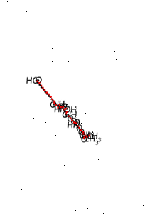 CC[C@H](C)[C@@H](C=O)NC(=O)COCCOCCNC(=O)COCCOCCNC(=O)CC[C@H](NC(=O)[C@H]1CC[C@H](CNC(=O)CCCCCCCCCCCCCCCCCCC(=O)O)CC1)C(=O)O